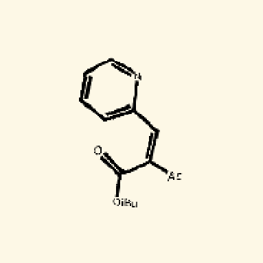 CC(=O)C(=Cc1ccccn1)C(=O)OCC(C)C